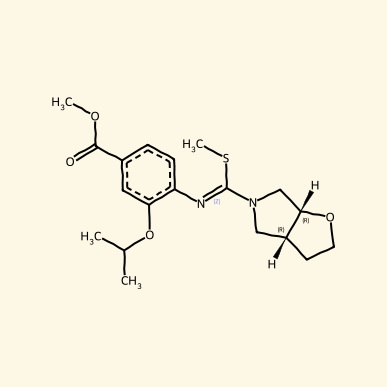 COC(=O)c1ccc(/N=C(\SC)N2C[C@H]3CCO[C@H]3C2)c(OC(C)C)c1